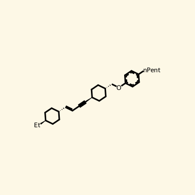 CCCCCc1ccc(OC[C@H]2CC[C@H](C#CC=C[C@H]3CC[C@H](CC)CC3)CC2)cc1